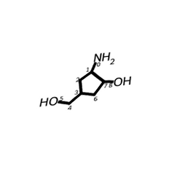 NC1CC(CO)CC1O